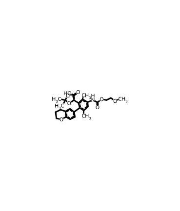 COCCOC(=O)Nc1cc(C)c(-c2ccc3c(c2)CCCO3)c(C(OC(C)(C)C)C(=O)O)c1C